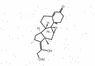 CC(=O)OCC(O)=C1[C@H](C)C[C@H]2[C@@H]3CCC4=CC(=O)CC[C@]4(C)[C@@]34O[C@H]4C[C@]12C